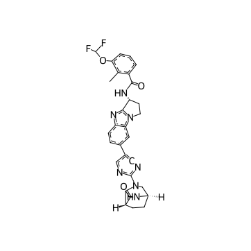 Cc1c(OC(F)F)cccc1C(=O)N[C@@H]1CCn2c1nc1ccc(-c3cnc(N4C[C@H]5CC[C@H](C4)C(=O)N5)nc3)cc12